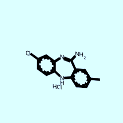 Cc1ccc2c(c1)C(N)=Nc1cc(Cl)ccc1N2.Cl